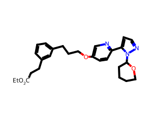 CCOC(=O)CCc1cccc(CCCOc2ccc(-c3ccnn3C3CCCCO3)nc2)c1